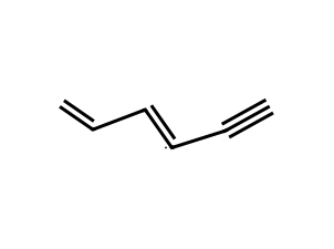 C#C/[C]=C/C=C